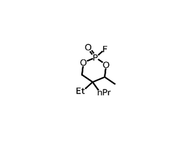 CCCC1(CC)COP(=O)(F)OC1C